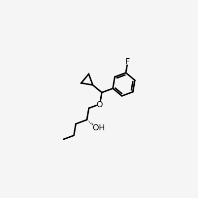 CCC[C@@H](O)COC(c1cccc(F)c1)C1CC1